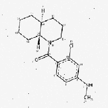 CNc1ccc(C(=O)N2CCC[C@@H]3CCCC[C@H]32)c(Cl)c1